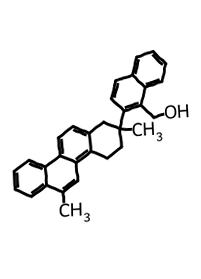 Cc1cc2c3c(ccc2c2ccccc12)CC(C)(c1ccc2ccccc2c1CO)CC3